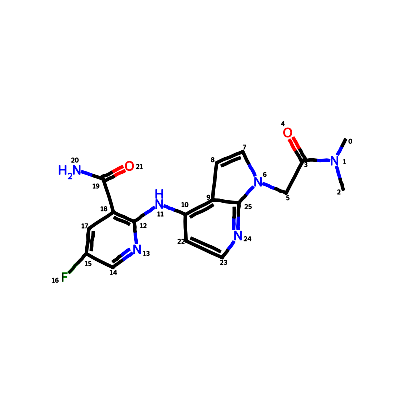 CN(C)C(=O)Cn1ccc2c(Nc3ncc(F)cc3C(N)=O)ccnc21